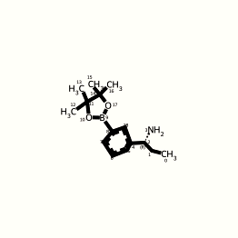 CC[C@@H](N)c1cccc(B2OC(C)(C)C(C)(C)O2)c1